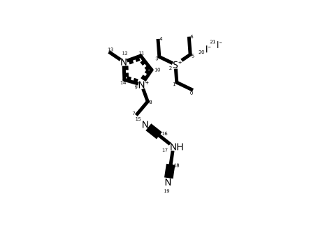 CC[S+](CC)CC.CC[n+]1ccn(C)c1.N#CNC#N.[I-].[I-]